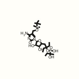 CCC(CC)(CC1O[C@@H](n2cc(CO[Si](C)(C)C(C)(C)C)c(N)nc2=O)[C@H](O)[C@@H]1O)OP(=O)(O)C(C)(O)CC